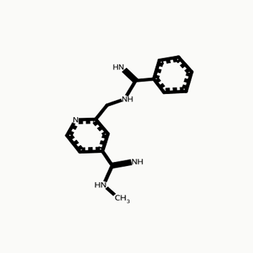 CNC(=N)c1ccnc(CNC(=N)c2ccccc2)c1